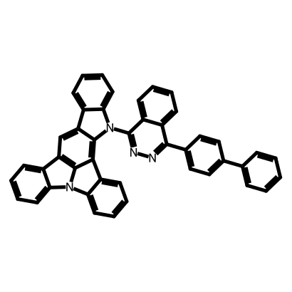 c1ccc(-c2ccc(-c3nnc(-n4c5ccccc5c5cc6c7ccccc7n7c8ccccc8c(c54)c67)c4ccccc34)cc2)cc1